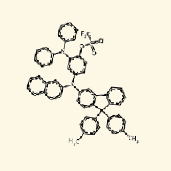 Cc1ccc(C2(c3ccc(C)cc3)c3ccccc3-c3cc(N(c4ccc(OS(=O)(=O)C(F)(F)F)c(N(c5ccccc5)c5ccccc5)c4)c4ccc5ccccc5c4)ccc32)cc1